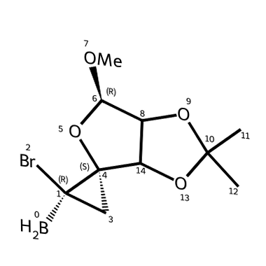 B[C@@]1(Br)C[C@@]12O[C@@H](OC)C1OC(C)(C)OC12